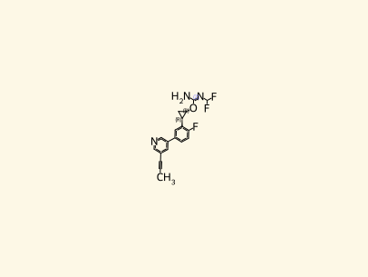 CC#Cc1cncc(-c2ccc(F)c([C@H]3C[C@H]3O/C(N)=N\C(F)F)c2)c1